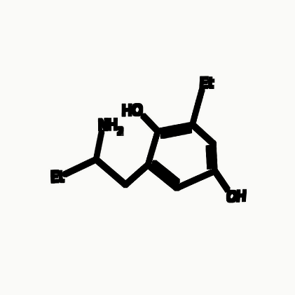 CCc1cc(O)cc(CC(N)CC)c1O